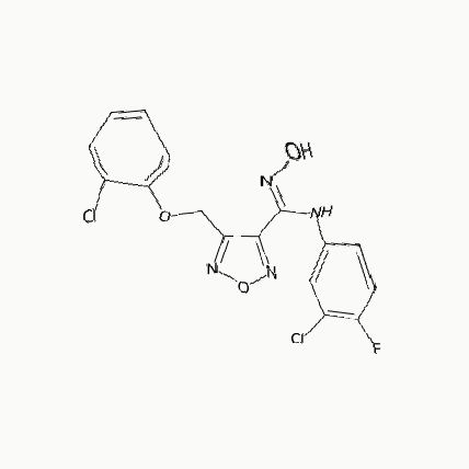 O/N=C(\Nc1ccc(F)c(Cl)c1)c1nonc1COc1ccccc1Cl